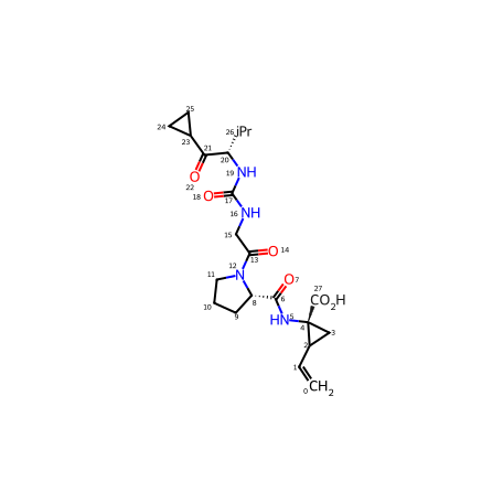 C=CC1C[C@]1(NC(=O)[C@@H]1CCCN1C(=O)CNC(=O)N[C@H](C(=O)C1CC1)C(C)C)C(=O)O